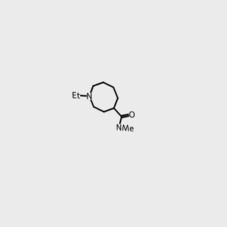 CCN1CCCCC(C(=O)NC)CC1